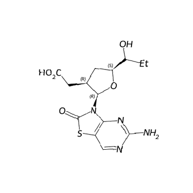 CCC(O)[C@@H]1C[C@H](CC(=O)O)[C@H](n2c(=O)sc3cnc(N)nc32)O1